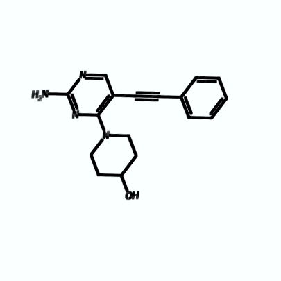 Nc1ncc(C#Cc2ccccc2)c(N2CCC(O)CC2)n1